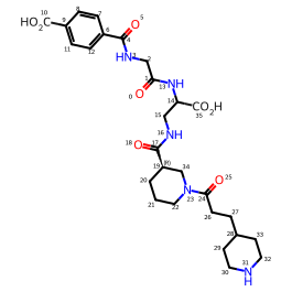 O=C(CNC(=O)c1ccc(C(=O)O)cc1)NC(CNC(=O)[C@@H]1CCCN(C(=O)CCC2CCNCC2)C1)C(=O)O